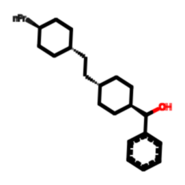 CCC[C@H]1CC[C@H](CC[C@H]2CC[C@H](C(O)c3ccccc3)CC2)CC1